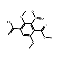 COC(=O)c1c(OC)cc(C(=O)O)c(OC)c1[N+](=O)[O-]